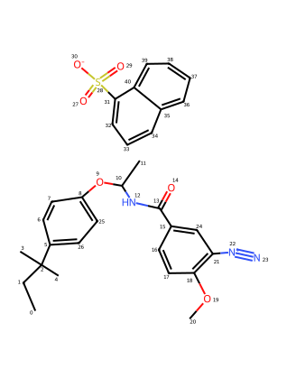 CCC(C)(C)c1ccc(OC(C)NC(=O)c2ccc(OC)c([N+]#N)c2)cc1.O=S(=O)([O-])c1cccc2ccccc12